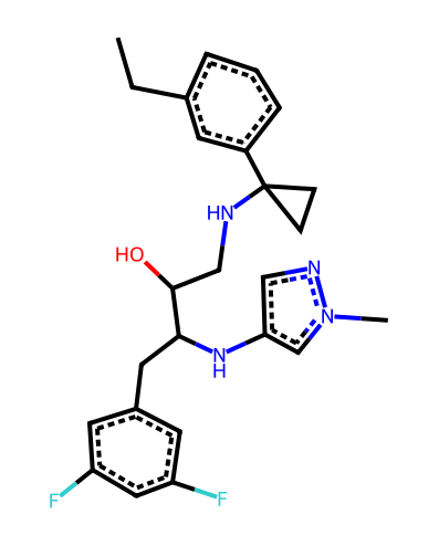 CCc1cccc(C2(NCC(O)C(Cc3cc(F)cc(F)c3)Nc3cnn(C)c3)CC2)c1